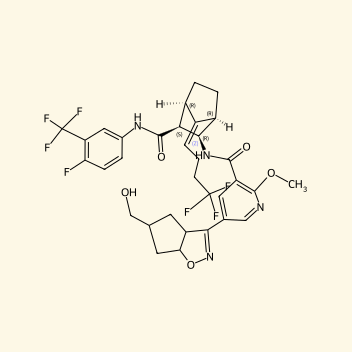 COc1ncc(C2=NOC3CC(CO)CC23)cc1C(=O)N[C@H]1[C@@H](C(=O)Nc2ccc(F)c(C(F)(F)F)c2)[C@H]2CC[C@@H]1/C2=C\CCC(F)(F)F